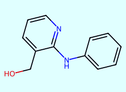 OCc1cccnc1Nc1ccccc1